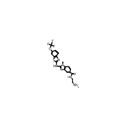 Cn1c(Nc2nc3ccc(OC(F)(F)F)cc3s2)nc2cc(C(=O)NCCN)ccc21